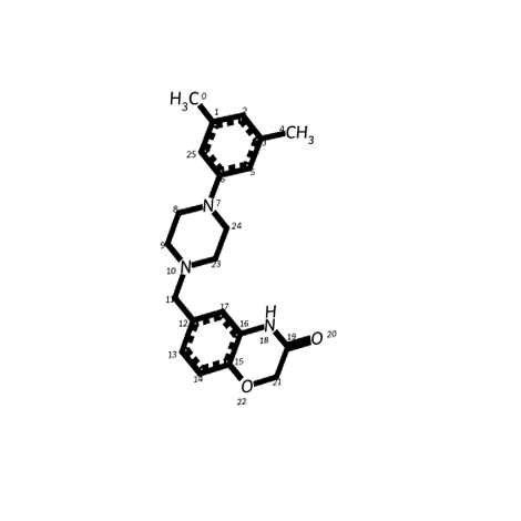 Cc1cc(C)cc(N2CCN(Cc3ccc4c(c3)NC(=O)CO4)CC2)c1